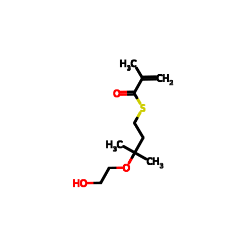 C=C(C)C(=O)SCCC(C)(C)OCCO